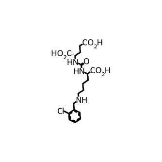 O=C(O)CC[C@H](NC(=O)NC(CCCCNCc1ccccc1Cl)C(=O)O)C(=O)O